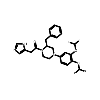 O=C(Cc1cnc[nH]1)N1CCN(c2ccc(OC(F)F)c(OC(F)F)c2)CC1Cc1ccccc1